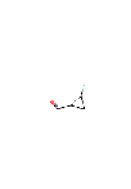 O=[C]C1CC1F